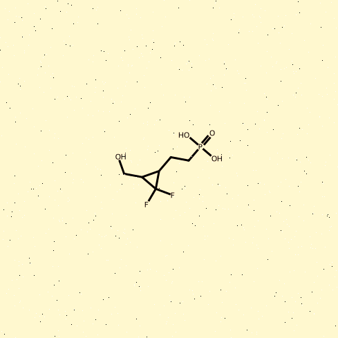 O=P(O)(O)CCC1C(CO)C1(F)F